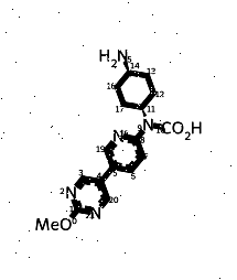 COc1ncc(-c2ccc(N(C(=O)O)[C@H]3CC[C@H](N)CC3)nc2)cn1